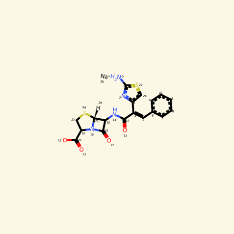 Nc1nc(/C(=C\c2ccccc2)C(=O)NC2C(=O)N3C(C(=O)[O-])CS[C@H]23)cs1.[Na+]